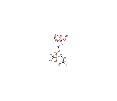 CO[Si](CCCSC1(C(C)C)CC=C(C)CC1)(OC)OC